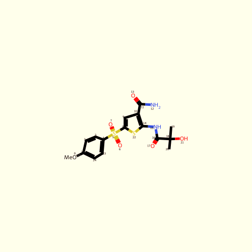 COc1ccc(S(=O)(=O)c2cc(C(N)=O)c(NC(=O)C(C)(C)O)s2)cc1